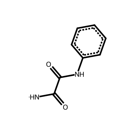 [NH]C(=O)C(=O)Nc1ccccc1